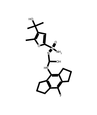 Cc1oc(S(N)(=O)=NC(O)Nc2c3c(c(F)c4c2CCC4)CCC3)cc1C(C)(C)O